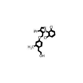 Cc1cc(OCc2c(C(C)C)cnn2-c2c(Cl)cccc2Cl)ccc1CCO